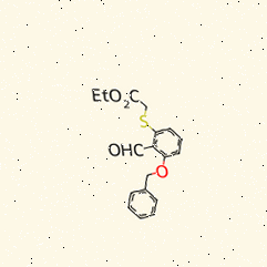 CCOC(=O)CSc1cccc(OCc2ccccc2)c1C=O